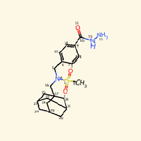 CS(=O)(=O)N(Cc1ccc(C(=O)NN)cc1)CC12CC3CC(CC(C3)C1)C2